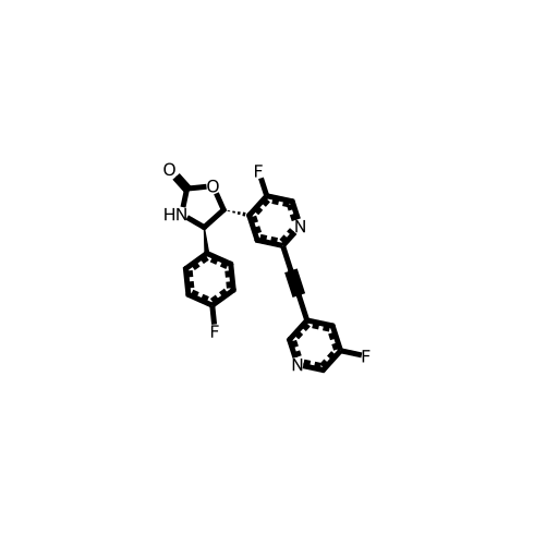 O=C1N[C@H](c2ccc(F)cc2)[C@@H](c2cc(C#Cc3cncc(F)c3)ncc2F)O1